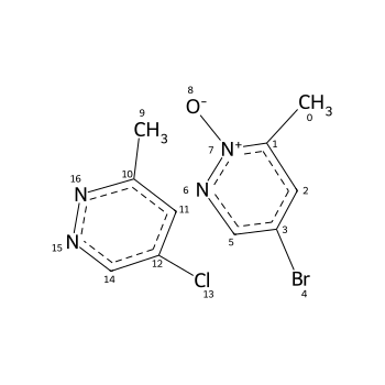 Cc1cc(Br)cn[n+]1[O-].Cc1cc(Cl)cnn1